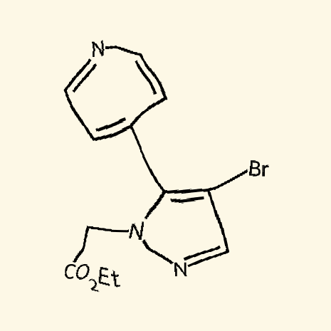 CCOC(=O)Cn1ncc(Br)c1-c1ccncc1